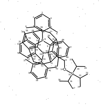 Cc1cccc(C)c1P(c1cc2c(CO[Si](C(C)C)(C(C)C)C(C)C)cc1CCc1ccc(c(P(c3c(C)cccc3C)c3c(C)cccc3C)c1)CC2)c1c(C)cccc1C